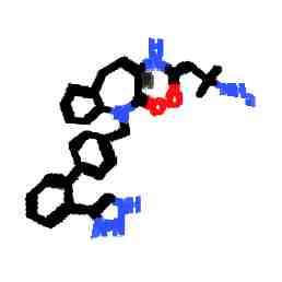 CC(C)(N)CC(=O)N[C@@H]1CCc2ccccc2N(Cc2ccc(-c3ccccc3-c3c[nH]nn3)cc2)C1=O